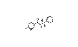 Cc1ccc(C(=O)NS(=O)(=O)c2ccccc2)cn1